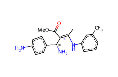 COC(=O)/C(=C(\C)Nc1cccc(C(F)(F)F)c1)[C@H](N)c1ccc(N)cc1